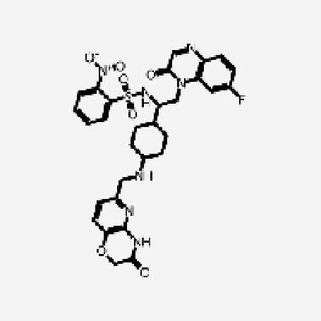 O=C1COc2ccc(CNC3CCC(C(Cn4c(=O)cnc5ccc(F)cc54)NS(=O)(=O)c4ccccc4[N+](=O)[O-])CC3)nc2N1